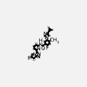 Cc1cc(F)c(C(=O)Nc2cccc(-c3nnc4n3C[C@H](F)C4)n2)cc1-n1cnc(C2CC2)c1